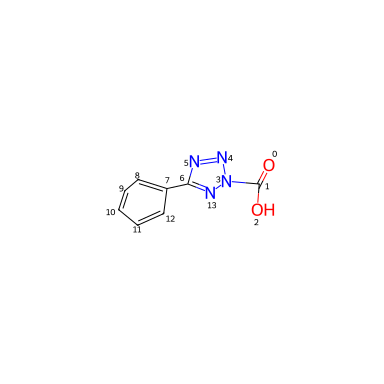 O=C(O)n1nnc(-c2ccccc2)n1